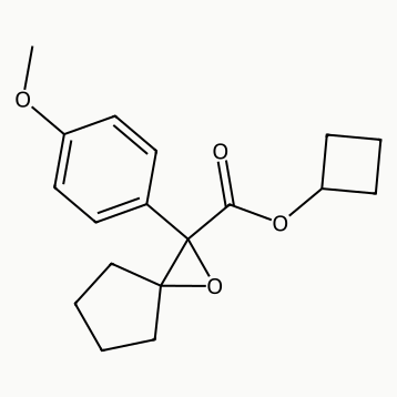 COc1ccc(C2(C(=O)OC3CCC3)OC23CCCC3)cc1